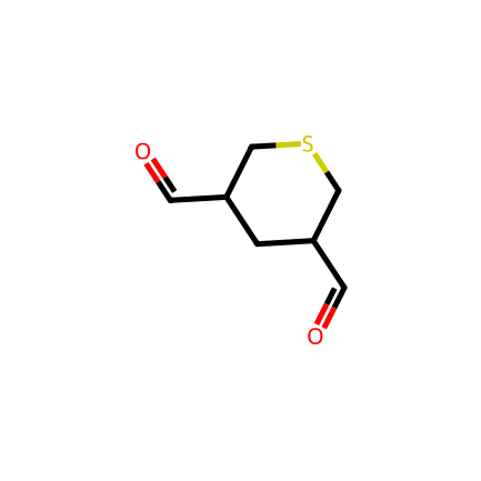 O=CC1CSCC(C=O)C1